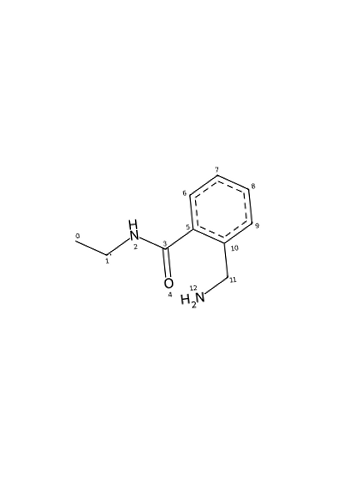 C[CH]NC(=O)c1ccccc1CN